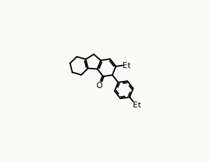 CCC1=CC2=C(C(=O)C1c1ccc(CC)cc1)C1=C(CCCC1)C2